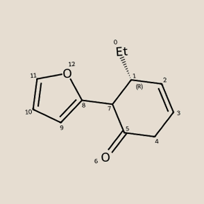 CC[C@@H]1C=CCC(=O)C1c1ccco1